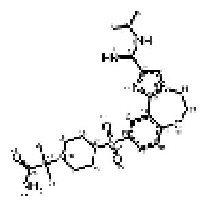 CC(C)NC(=N)c1cn2c(n1)-c1cc(S(=O)(=O)C3CCN(C(C)(C)C(N)=O)CC3)ccc1OCC2